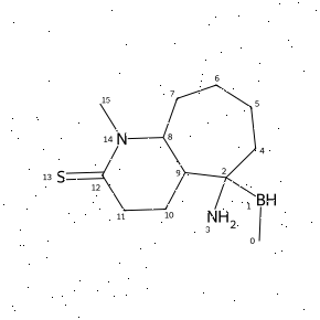 CBC1(N)CCCCC2C1CCC(=S)N2C